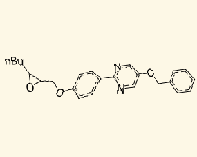 CCCCC1OC1COc1ccc(-c2ncc(OCc3ccccc3)cn2)cc1